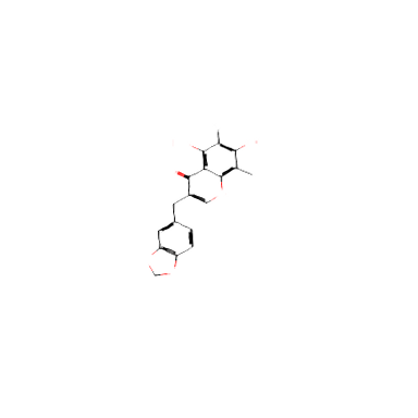 Cc1c(O)c(C=O)c(O)c2c(=O)c(Cc3ccc4c(c3)OCO4)coc12